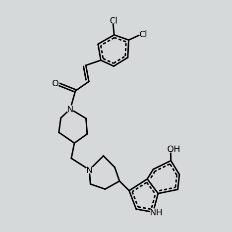 O=C(C=Cc1ccc(Cl)c(Cl)c1)N1CCC(CN2CCC(c3c[nH]c4ccc(O)cc34)CC2)CC1